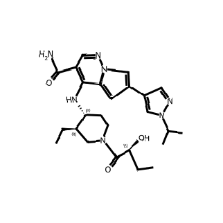 CC[C@@H]1CN(C(=O)[C@@H](O)CC)CC[C@H]1Nc1c(C(N)=O)cnn2cc(-c3cnn(C(C)C)c3)cc12